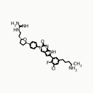 C[C@H](N)CCCc1cc(Cl)c(F)c(-c2cc3cn(-c4ccc([C@H]5CC[C@@H](CCNC(=N)N)O5)cc4)c(=O)nc3[nH]2)c1